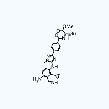 CC[C@@H](C)[C@H](NC(=O)c1ccc(-c2nc(Nc3ccc(N)c(C=N)c3C3CC3)n(C)n2)cc1)C(=O)OC